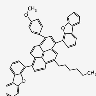 CCCCCCc1cc2c(-c3cccc4c3oc3ccccc34)cc(-c3ccc(OC)cc3)c3ccc4c(-c5cccc6c5oc5ccccc56)ccc1c4c32